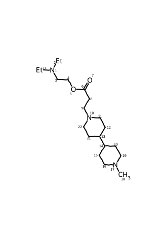 CCN(CC)CCOC(=O)CCN1CCC(C2CCN(C)CC2)CC1